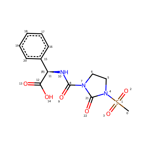 CS(=O)(=O)N1CCN(C(=O)N[C@@H](C(=O)O)c2ccccc2)C1=O